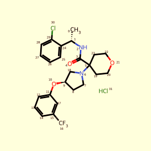 C[C@H](NC(=O)C1(N2CC[C@@H](Oc3cccc(C(F)(F)F)c3)C2)CCOCC1)c1ccccc1Cl.Cl